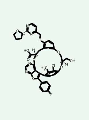 Cc1c2ccc(c1Cl)O[C@H](CO)COc1ccc(OCc3ccnc([C@@H]4CCCO4)n3)c(c1)C[C@H](C(=O)O)Oc1ncnc3sc(-c4ccc(F)cc4)c-2c13